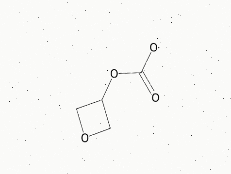 [O]C(=O)OC1COC1